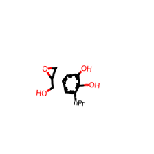 CCCc1cccc(O)c1O.OCC1CO1